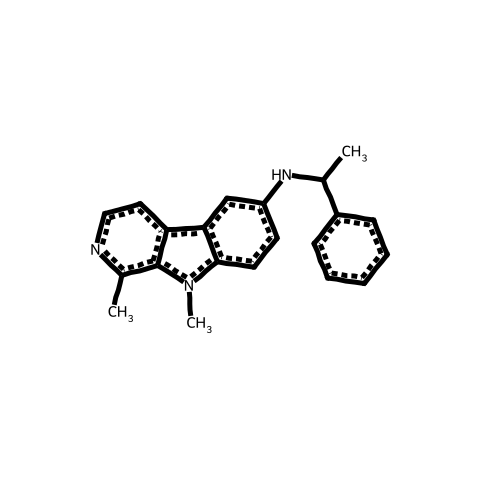 Cc1nccc2c3cc(NC(C)c4ccccc4)ccc3n(C)c12